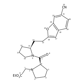 CCOC(=O)CN1CCC[C@@H]1C(=O)N1CCC[C@H]1CCc1cc2ccc(C#N)cc2o1